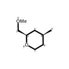 COC[C@H]1C[C@@H](C)CCO1